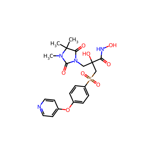 CN1C(=O)N(CC(O)(CS(=O)(=O)c2ccc(Oc3ccncc3)cc2)C(=O)NO)C(=O)C1(C)C